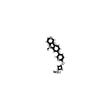 CN[C@H]1C[C@H](Oc2ccc(-c3ccc4c5cnccc5n(C)c4c3)cn2)C1